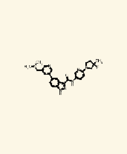 CN(C)Cc1cncc(-c2ccc3[nH]nc(C(=O)Nc4ccc(N5CCC(C)(F)C5)nc4)c3c2)c1